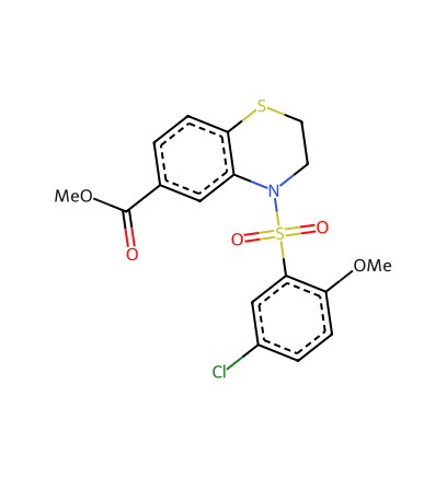 COC(=O)c1ccc2c(c1)N(S(=O)(=O)c1cc(Cl)ccc1OC)CCS2